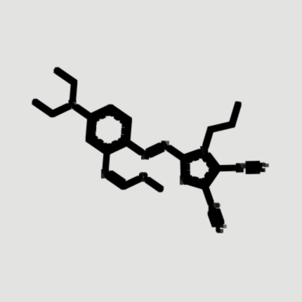 [C-]#[N+]c1nc(N=Nc2ccc(N(CC)CC)cc2/N=C\OC)n(CCC)c1[N+]#[C-]